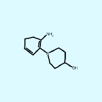 NC1=C(N2CCC(O)CC2)C=CCC1